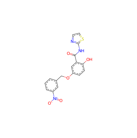 O=C(Nc1nccs1)c1cc(OCc2cccc([N+](=O)[O-])c2)ccc1O